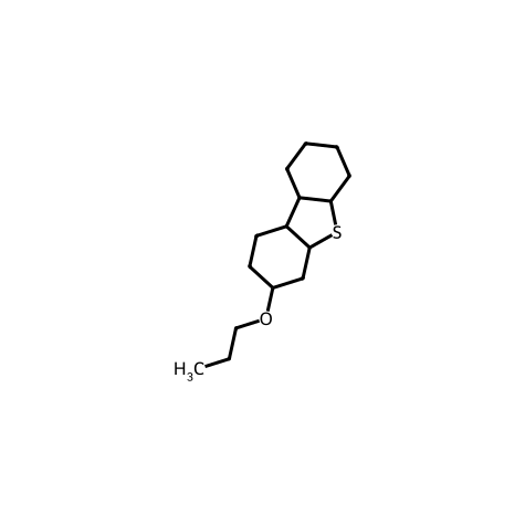 CCCOC1CCC2C(C1)SC1CCCCC12